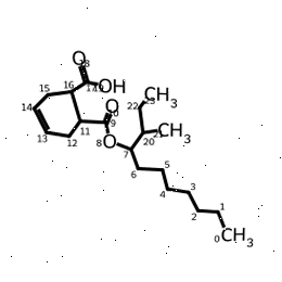 CCCCCCCC(OC(=O)C1CC=CCC1C(=O)O)C(C)CC